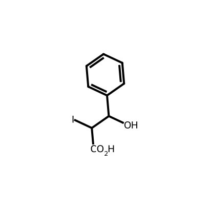 O=C(O)C(I)C(O)c1ccccc1